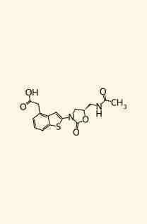 CC(=O)NC[C@@H]1CN(c2cc3c(CC(=O)O)cccc3s2)C(=O)O1